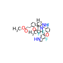 CCOC(=O)CCc1cccc2c1OC(C)(C)C[C@]2(C)c1c[nH]c(-c2cc(Oc3c(F)c(F)c4[nH]ccc4c3F)ccc2F)n1